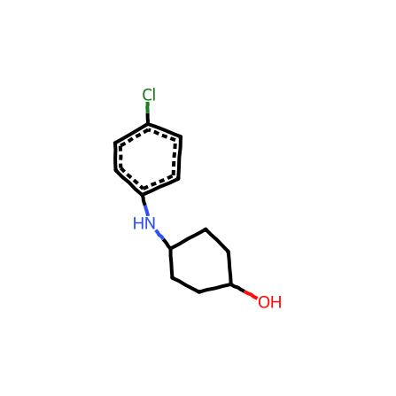 OC1CCC(Nc2ccc(Cl)cc2)CC1